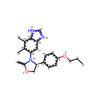 C=C1OC[C@H](c2ccc(OCCC)cc2)N1c1cc2nc[nH]c2c(C)c1C